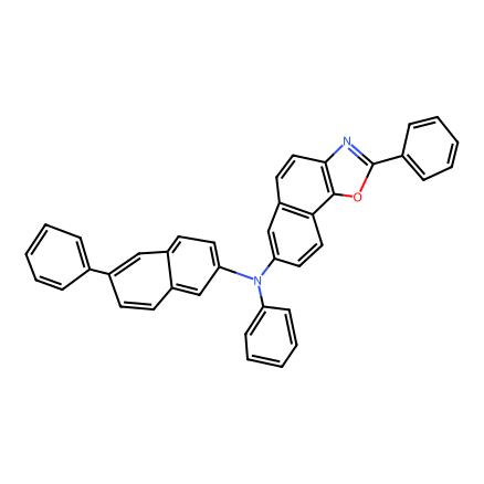 c1ccc(-c2ccc3cc(N(c4ccccc4)c4ccc5c(ccc6nc(-c7ccccc7)oc65)c4)ccc3c2)cc1